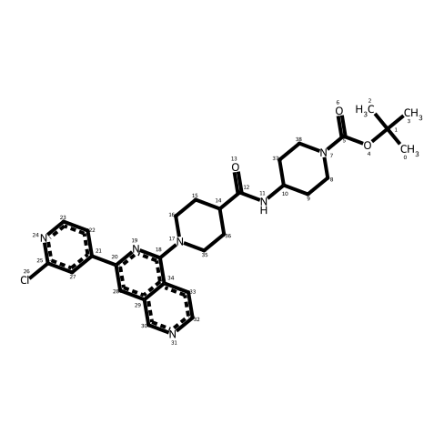 CC(C)(C)OC(=O)N1CCC(NC(=O)C2CCN(c3nc(-c4ccnc(Cl)c4)cc4cnccc34)CC2)CC1